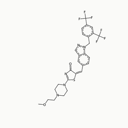 COCCN1CCN(C2=NC(=O)C(=Cc3ccc4c(cnn4Cc4ccc(C(F)(F)F)cc4C(F)(F)F)c3)S2)CC1